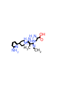 C=C/N=C(NC[C@H](N)C(=O)O)\C(C)=C(/N)N1CCC(c2cccc(N)n2)CC1